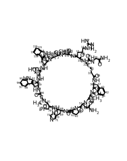 CCCC[C@H]1C(=O)N(C)[C@@H](CCCC)C(=O)N[C@@H](CCCNC(=N)N)C(=O)N[C@H](C(=O)NCC(N)=O)CSCC(=O)N[C@@H](Cc2ccccc2)C(=O)N(C)[C@@H](C)C(=O)N[C@@H](CC(N)=O)C(=O)N2CCC[C@H]2C(=O)N[C@@H](Cc2cnc[nH]2)C(=O)N[C@@H](CC(C)C)C(=O)N(C)CC(=O)N[C@@H](Cc2c[nH]c3ccccc23)C(=O)N[C@H](CO)C(=O)N[C@@H](Cc2c[nH]c3ccccc23)C(=O)N1C